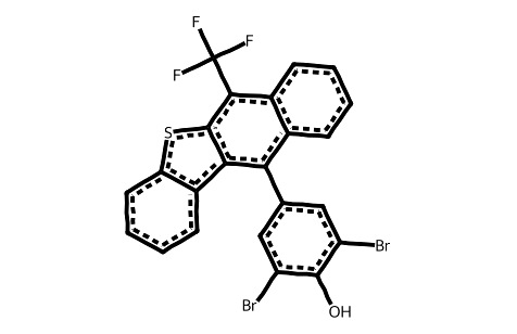 Oc1c(Br)cc(-c2c3ccccc3c(C(F)(F)F)c3sc4ccccc4c23)cc1Br